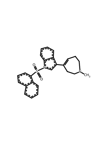 CN1CCC=C(c2cn(S(=O)(=O)c3cccc4ccccc34)c3ccccc23)CC1